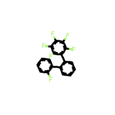 Fc1ccccc1-c1ccccc1-c1c(F)c(F)c(F)c(F)c1F